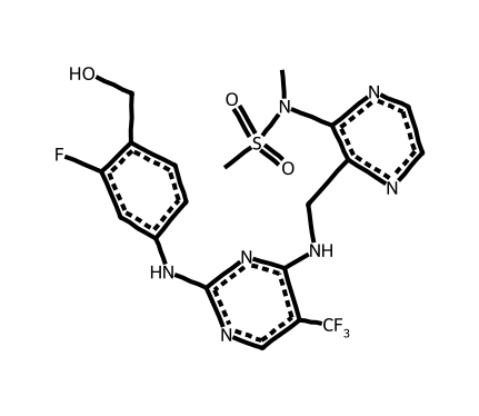 CN(c1nccnc1CNc1nc(Nc2ccc(CO)c(F)c2)ncc1C(F)(F)F)S(C)(=O)=O